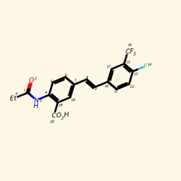 CCC(=O)Nc1ccc(C=Cc2ccc(F)c(C(F)(F)F)c2)cc1C(=O)O